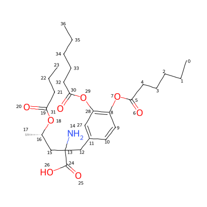 CCCCCC(=O)Oc1ccc(CC(N)(C[C@H](C)OC(=O)CCC)C(=O)O)cc1OC(=O)CCCCC